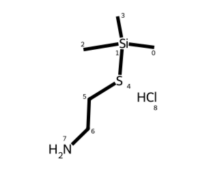 C[Si](C)(C)SCCN.Cl